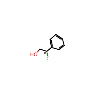 OC[C@H](Cl)c1ccccc1